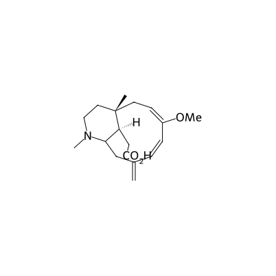 C=C1/C=C\C(OC)=C/C[C@@]2(C)CCN(C)C(C1)[C@@H]2CC(=O)O